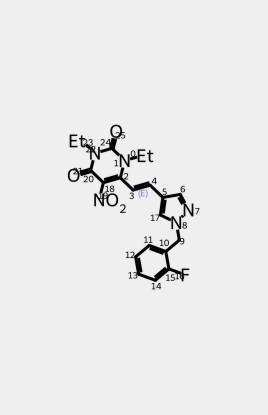 CCn1c(/C=C/c2cnn(Cc3ccccc3F)c2)c([N+](=O)[O-])c(=O)n(CC)c1=O